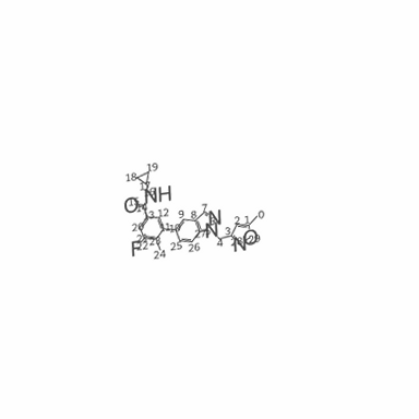 Cc1cc(Cn2ncc3cc(-c4cc(C(=O)NC5CC5)cc(F)c4C)ccc32)no1